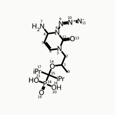 CC(CN1C=CC(N)N(N=[N+]=[N-])C1=O)OC(C(C)C)(C(C)C)P(=O)(O)O